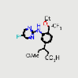 CCO[C@@H](c1ccc(C(COC)CC(=O)O)cc1Nc1ncc(F)cn1)C(F)(F)F